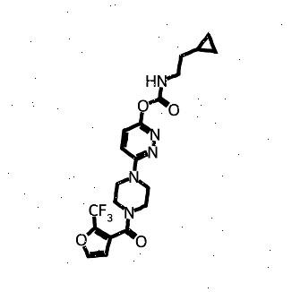 O=C(NCCC1CC1)Oc1ccc(N2CCN(C(=O)c3ccoc3C(F)(F)F)CC2)nn1